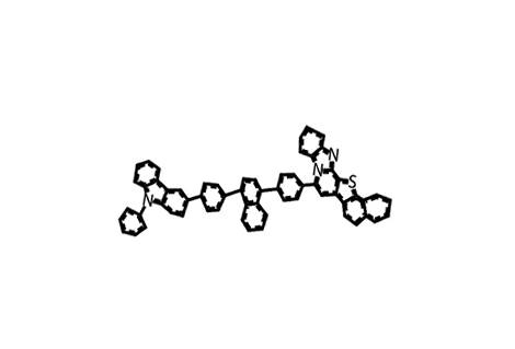 c1ccc(-n2c3ccccc3c3cc(-c4ccc(-c5ccc(-c6ccc(-c7cc8c9ccc%10ccccc%10c9sc8c8nc9ccccc9n78)cc6)c6ccccc56)cc4)ccc32)cc1